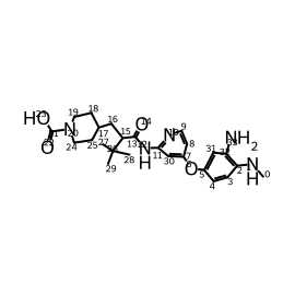 CNc1ccc(Oc2ccnc(NC(=O)C(CC3CCN(C(=O)O)CC3)C(C)(C)C)c2)cc1N